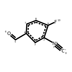 [C-]#[N+]c1cc(C=O)ccc1F